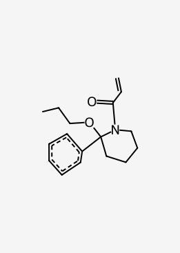 C=CC(=O)N1CCCCC1(OCCC)c1ccccc1